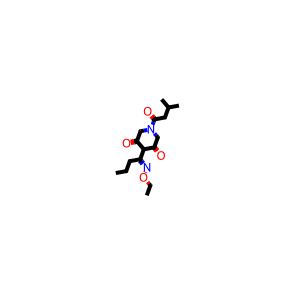 CCCC(=NOCC)C1C(=O)CN(C(=O)CC(C)C)CC1=O